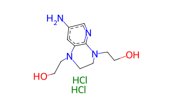 Cl.Cl.Nc1cnc2c(c1)N(CCO)CCN2CCO